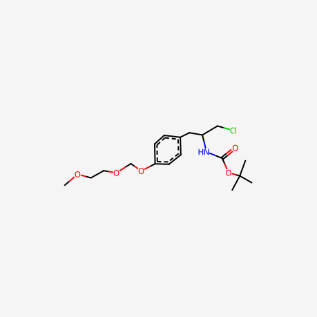 COCCOCOc1ccc(CC(CCl)NC(=O)OC(C)(C)C)cc1